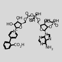 Nc1ncnc2c1ncn2[C@@H]1O[C@H](COP(=O)(O)OP(=O)(O)OC[C@H]2O[C@@H]([n+]3ccc(-c4cc[c]cc4C(=O)O)cc3)[C@H](O)[C@@H]2O)[C@@H](O)[C@H]1OP(=O)(O)O